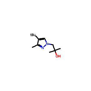 Cc1nn(CC(C)(C)O)cc1C(C)(C)C